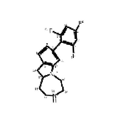 Fc1cc(F)c(-c2ccc3c(c2)N2CCNCCC2C3)c(F)c1